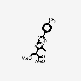 COC=C(C(=O)OC)c1sc2nc(-c3ccc(C(F)(F)F)cc3)nn2c1C